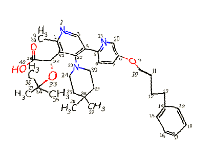 Cc1ncc(-c2ccc(OCCCCc3ccccc3)cn2)c(N2CCC(C)(C)CC2)c1[C@H](OC(C)(C)C)C(=O)O